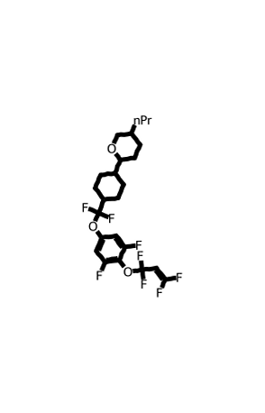 CCCC1CCC(C2CCC(C(F)(F)Oc3cc(F)c(OC(F)(F)C=C(F)F)c(F)c3)CC2)OC1